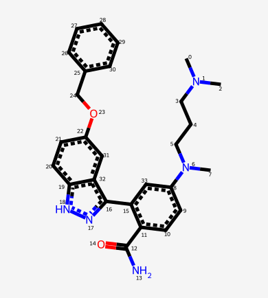 CN(C)CCCN(C)c1ccc(C(N)=O)c(-c2n[nH]c3ccc(OCc4ccccc4)cc23)c1